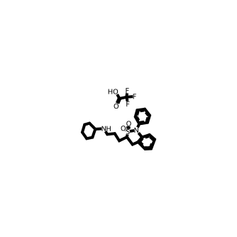 O=C(O)C(F)(F)F.O=S1(=O)C(CCCNC2CCCCC2)Cc2ccccc2N1c1ccccc1